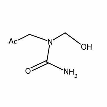 CC(=O)CN(CO)C(N)=O